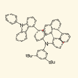 CC(C)(C)c1cc(N(c2ccc(-c3cccc4c3c3ccccc3n4-c3ccccc3)cc2)c2ccccc2-c2cccc3cccc(-c4ccccc4)c23)cc(C(C)(C)C)c1